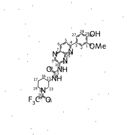 COc1cc(-c2ccc3ncc(NC(=O)NC4CCCN(C(=O)C(F)(F)F)C4)nc3n2)ccc1O